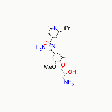 C=C(/N=C(\ON)c1cc(C)nc(CC(C)C)c1)c1cc(C)c(OCC(O)CN)c(OC)c1